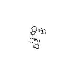 CN1C2CCC1CN(c1cccc3nc([C@H]4CCC[C@@H](c5ncccc5Cl)N4)cn13)C2